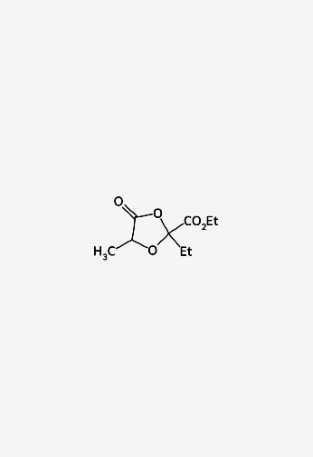 CCOC(=O)C1(CC)OC(=O)C(C)O1